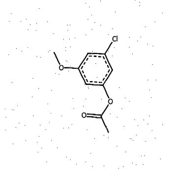 COc1cc(Cl)cc(OC(C)=O)c1